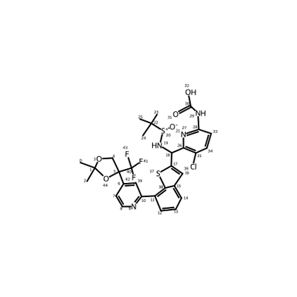 CC1(C)OCC(c2ccnc(-c3cccc4cc(C(N[S+]([O-])C(C)(C)C)c5nc(NC(=O)O)ccc5Cl)sc34)c2)(C(F)(F)F)O1